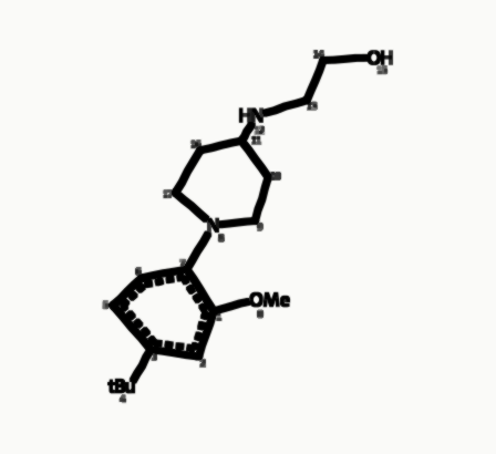 COc1cc(C(C)(C)C)ccc1N1CCC(NCCO)CC1